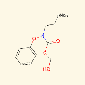 CCCCCCCCCCCN(Oc1ccccc1)C(=O)OCO